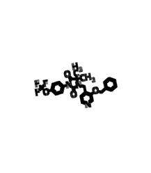 CC1(C)C(=O)N(c2ccc(OC(F)(F)F)cc2)C(=O)N1Cc1ccncc1OCc1ccccc1